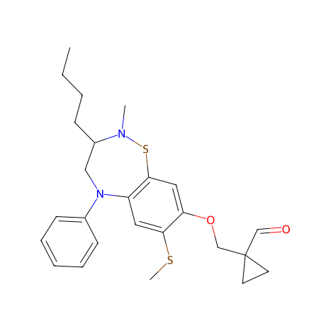 CCCCC1CN(c2ccccc2)c2cc(SC)c(OCC3(C=O)CC3)cc2SN1C